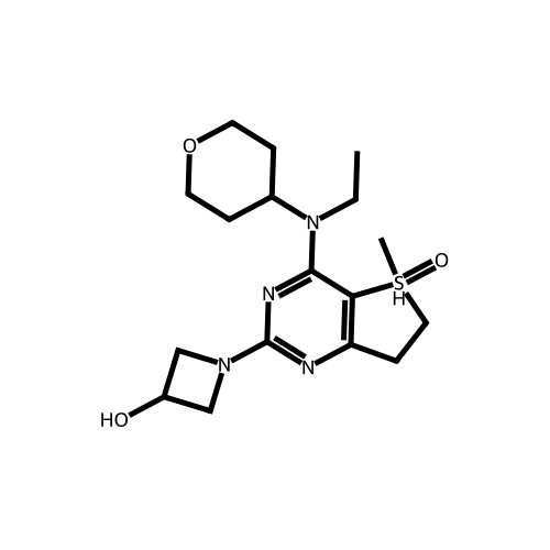 CCN(c1nc(N2CC(O)C2)nc2c1[SH](C)(=O)CC2)C1CCOCC1